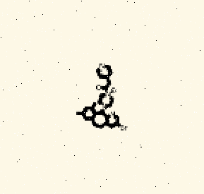 Cc1cc(C)c2c(c1)CCc1cc(Br)cnc1C2N1CC[N+]([O-])(C(=O)Cc2ccncc2)CC1